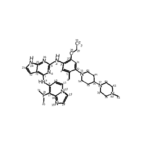 Cc1cc(Nc2nc(Nc3ccn4ccnc4c3P(C)C)c3cc[nH]c3n2)c(OCC(F)(F)F)cc1N1CCC(N2CCN(C)CC2)CC1